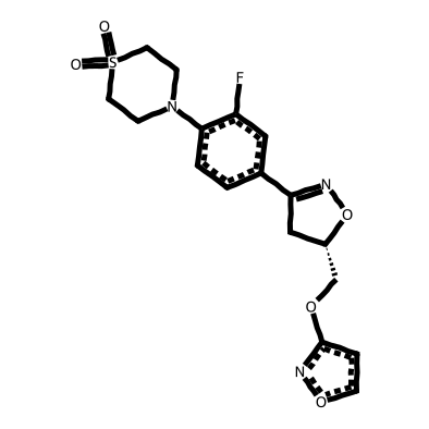 O=S1(=O)CCN(c2ccc(C3=NO[C@H](COc4ccon4)C3)cc2F)CC1